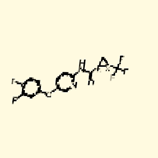 O=C(Nc1ccc(Oc2ccc(F)c(F)c2)cn1)[C@H]1C[C@H]1C(F)(F)F